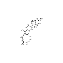 O=C1COCN(C(=O)N2CCC(C(F)(F)c3ccc(F)cc3Cl)CC2)CCCCN1